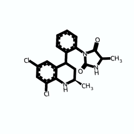 CC1NC(=O)N(c2ccccc2C2C[C@@H](C)Nc3c(Cl)cc(Cl)cc32)C1=O